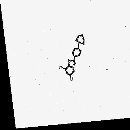 Clc1cc(Cl)c2nc(-c3ccc(-c4ccccc4)cc3)cn2c1